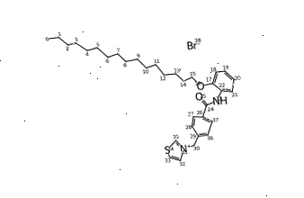 CCCCCCCCCCCCCCCCOc1ccccc1NC(=O)c1ccc(C[n+]2ccsc2)cc1.[Br-]